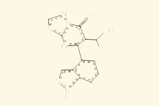 CC(C)c1c(-c2cccc3[nH]ncc23)[nH]c2ncnn2c1=O